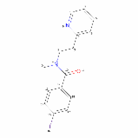 CN(CCc1ccccn1)C(=O)c1ccc(I)cc1